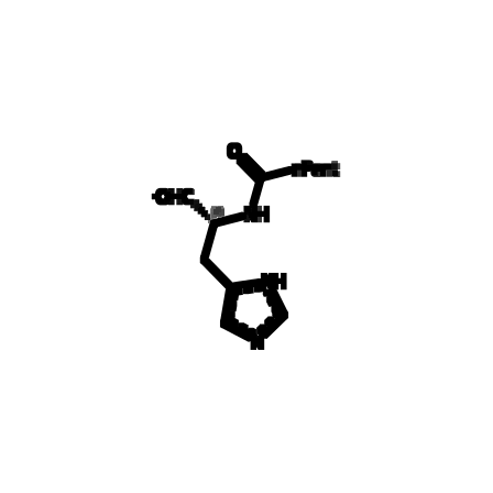 CCCCCC(=O)N[C@@H]([C]=O)Cc1cnc[nH]1